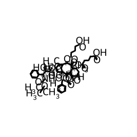 CC(=O)O[C@@]12CO[C@@H]1CC(OC(=O)CCCC(=O)O)[C@@]1(C)C(=O)[C@H](OC(=O)CCCC(=O)O)C3=C(C)C(OC(=O)[C@H](O)[C@@H](NC(=O)OC(C)(C)C)c4ccccc4)C[C@@](O)([C@@H](OC(=O)c4ccccc4)[C@H]21)C3(C)C